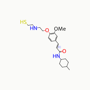 COc1cc(/C=C/C(=O)NC2CCC(C)CC2)ccc1OCCNCCS